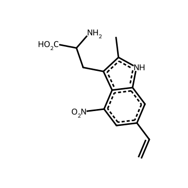 C=Cc1cc([N+](=O)[O-])c2c(CC(N)C(=O)O)c(C)[nH]c2c1